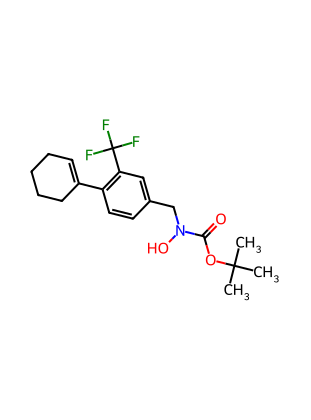 CC(C)(C)OC(=O)N(O)Cc1ccc(C2=CCCCC2)c(C(F)(F)F)c1